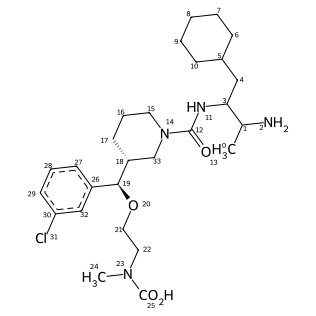 CC(N)C(CC1CCCCC1)NC(=O)N1CCC[C@@H]([C@@H](OCCN(C)C(=O)O)c2cccc(Cl)c2)C1